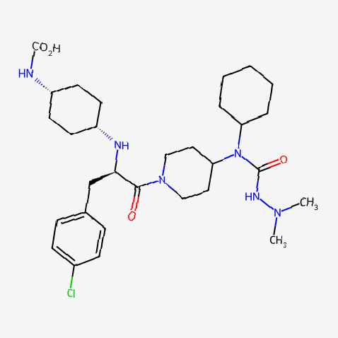 CN(C)NC(=O)N(C1CCCCC1)C1CCN(C(=O)[C@@H](Cc2ccc(Cl)cc2)N[C@H]2CC[C@@H](NC(=O)O)CC2)CC1